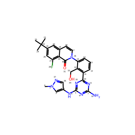 Cn1cc(Nc2nc(N)nc(-c3cccc(-n4ccc5cc(C(C)(C)C)cc(F)c5c4=O)c3CO)n2)cn1